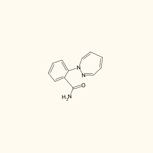 NC(=O)c1ccccc1N1C=CC=CC=N1